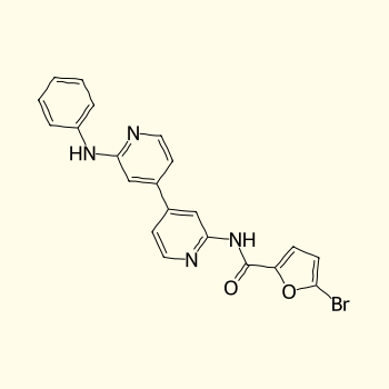 O=C(Nc1cc(-c2ccnc(Nc3ccccc3)c2)ccn1)c1ccc(Br)o1